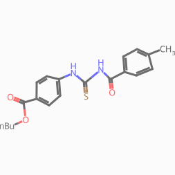 CCCCOC(=O)c1ccc(NC(=S)NC(=O)c2ccc(C)cc2)cc1